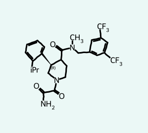 CC(C)c1ccccc1[C@@H]1CN(C(=O)C(N)=O)CCC1C(=O)N(C)Cc1cc(C(F)(F)F)cc(C(F)(F)F)c1